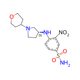 NS(=O)(=O)c1ccc(N[C@H]2CCN(C3CCOCC3)C2)c([N+](=O)[O-])c1